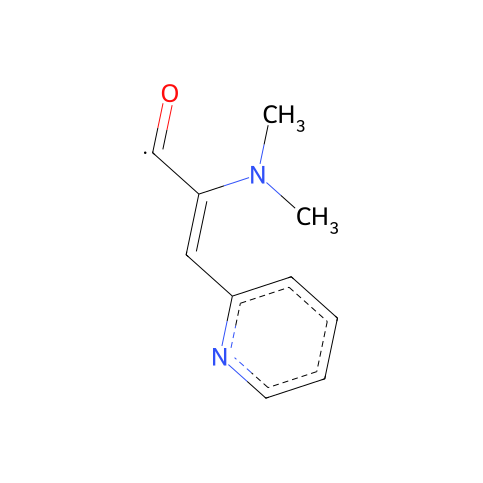 CN(C)C([C]=O)=Cc1ccccn1